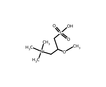 COC(C[N+](C)(C)C)CS(=O)(=O)O